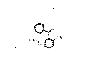 O=C(O)O.O=C(c1ccccc1)c1ccccc1[N+](=O)[O-]